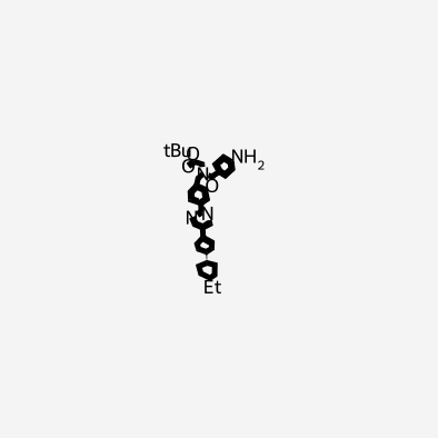 CC[C@H]1CC[C@H](C2CC=C(c3cnc(-c4ccc(CN(CC(=O)OC(C)(C)C)C(=O)c5ccc(N)cc5)cc4)nc3)CC2)CC1